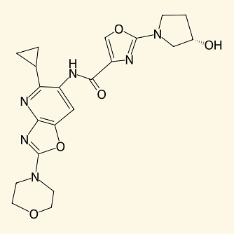 O=C(Nc1cc2oc(N3CCOCC3)nc2nc1C1CC1)c1coc(N2CC[C@H](O)C2)n1